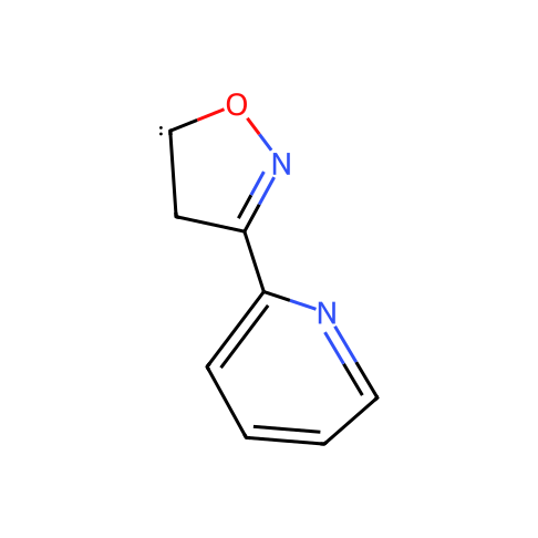 [C]1CC(c2ccccn2)=NO1